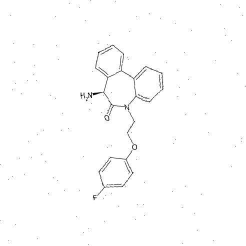 N[C@@H]1C(=O)N(CCOc2ccc(F)cc2)c2ccccc2-c2ccccc21